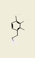 CCCc1c(CCN)ccc(OC)c1OC.Cl